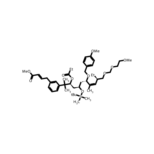 CCC(=O)O[C@@H](C[C@@H](C[C@H](OCc1ccc(OC)cc1)/C(C)=C\[C@@H](CC)COCOCCOC)O[Si](C)(C)C(C)(C)C)C(C)(C)c1cccc(C/C=C/C(=O)OC)c1